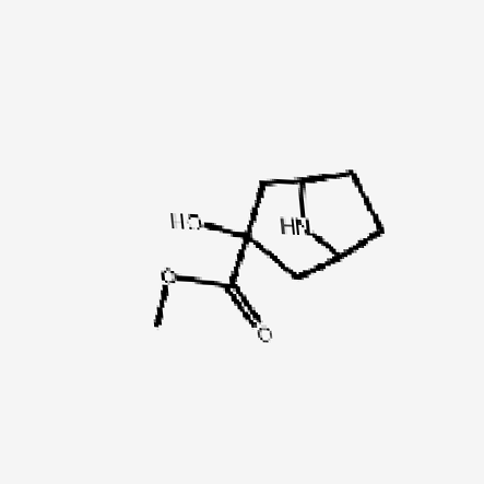 COC(=O)C1(O)CC2CCC(C1)N2